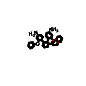 Nc1ccc(-c2cccc(-c3ccccc3)c2-c2ccc(N)cc2Oc2ccccc2)c(Oc2ccccc2)c1